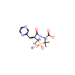 CC1(C)[C@H](C(=O)[O-])N2C(=O)/C(=C\c3cnccn3)[C@H]2S1(=O)=O.[K+]